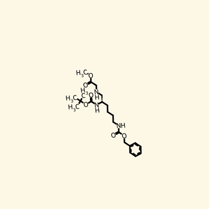 COC(=O)CNC[C@@H](CCCCNC(=O)OCc1ccccc1)NC(=O)OC(C)(C)C